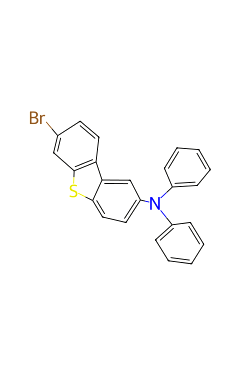 Brc1ccc2c(c1)sc1ccc(N(c3ccccc3)c3ccccc3)cc12